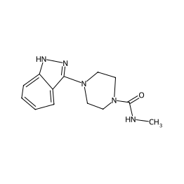 CNC(=O)N1CCN(c2n[nH]c3ccccc23)CC1